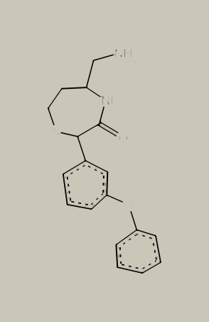 NCC1CCSC(c2cccc(Oc3ccccc3)c2)C(=O)N1